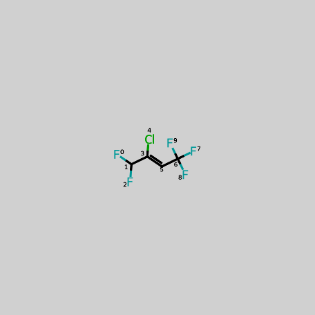 FC(F)C(Cl)=CC(F)(F)F